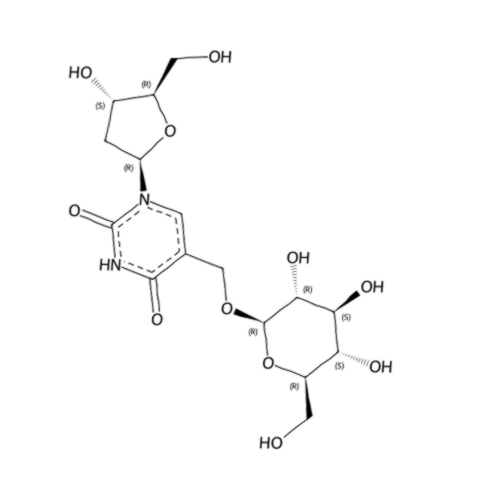 O=c1[nH]c(=O)n([C@H]2C[C@H](O)[C@@H](CO)O2)cc1CO[C@@H]1O[C@H](CO)[C@@H](O)[C@H](O)[C@H]1O